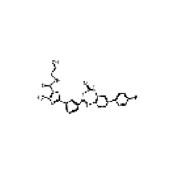 Cc1nc(-c2cccc(C3=Nc4ccc(-c5ccc(F)cc5)cc4NC(=O)C3)c2)sc1C(=O)NCCO